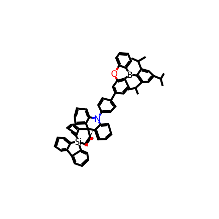 CC(C)c1cc(C(C)C)c(B2c3ccccc3Oc3cc(-c4ccc(N5c6ccccc6C6(c7ccccc75)c5ccccc5[Si]5(c7ccccc7-c7ccccc75)c5ccccc56)cc4)ccc32)c(C(C)C)c1